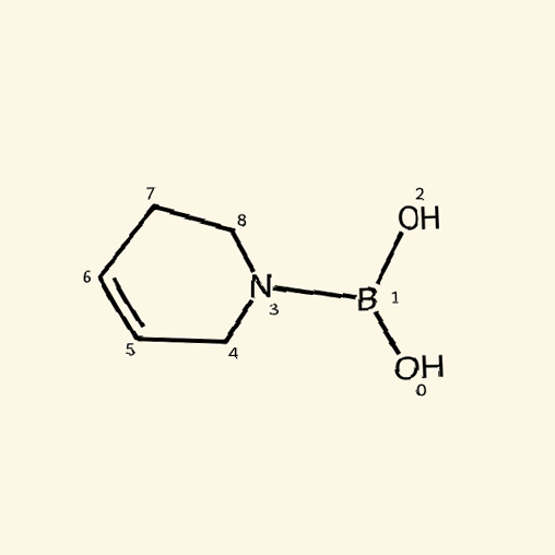 OB(O)N1CC=CCC1